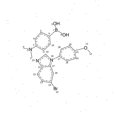 CN(C)c1ccc(B(O)O)cc1.COc1ccc(-n2cnc3ccc(Br)cc32)cc1